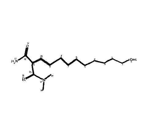 CCCCCCCCCCCCCCCCCCCCC(C(N)=O)C(CC)N(C)C